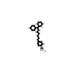 FC(F)(F)Oc1ccc(CCCCCCC(C2CCCCC2)C2CCCCC2)cc1